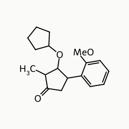 COc1ccccc1C1CC(=O)C(C)C1OC1CCCC1